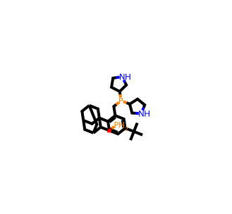 CC(C)(C)c1ccc(C23CC4CC(CC(C4)C2CP)C3)c(CP(C2CCNC2)C2CCNC2)c1